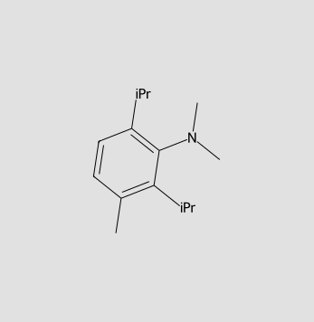 Cc1ccc(C(C)C)c(N(C)C)c1C(C)C